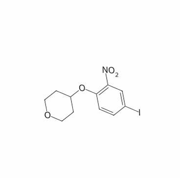 O=[N+]([O-])c1cc(I)ccc1OC1CCOCC1